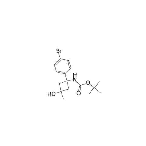 CC1(O)CC(NC(=O)OC(C)(C)C)(c2ccc(Br)cc2)C1